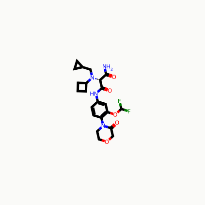 NC(=O)[C@H](C(=O)Nc1ccc(N2CCOCC2=O)c(OC(F)F)c1)N(CC1CC1)C1CCC1